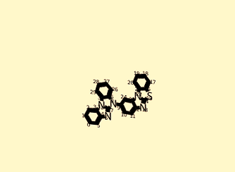 c1ccc2c(c1)nc1n(-c3ccc4nc5sc6ccccc6n5c4c3)c3ccccc3n21